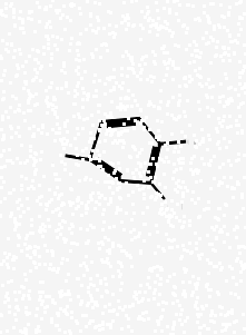 [CH2]c1ccc(CCC)c(C)c1